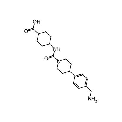 NCc1ccc(C2CCN(C(=O)NC3CCC(C(=O)O)CC3)CC2)cc1